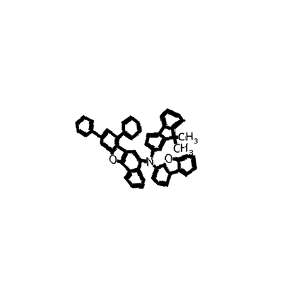 CC1(C)c2ccccc2-c2ccc(N(C3=CC=CC4c5ccccc5OC34)c3cc4c(oc5cc(-c6ccccc6)cc(-c6ccccc6)c54)c4ccccc34)cc21